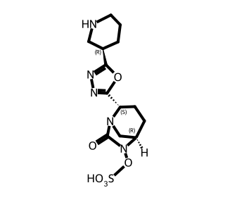 O=C1N2C[C@@H](CC[C@H]2c2nnc([C@@H]3CCCNC3)o2)N1OS(=O)(=O)O